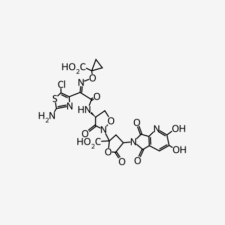 Nc1nc(/C(=N/OC2(C(=O)O)CC2)C(=O)N[C@H]2CON(C3(C(=O)O)CC(N4C(=O)c5cc(O)c(O)nc5C4=O)C(=O)O3)C2=O)c(Cl)s1